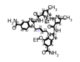 CCOc1cc(C(N)=O)cc2nc(NC(=O)c3cc(C)nn3CC)n(C/C=C/Cn3c(NC(=O)c4cc(C)nn4CC)nc4cc(C(N)=O)ccc43)c12